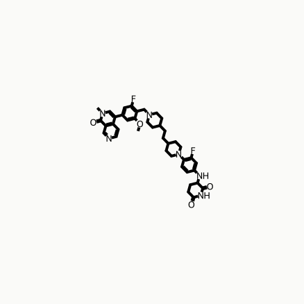 COc1cc(-c2cn(C)c(=O)c3cnccc23)cc(F)c1CN1CCC(CCC2CCN(c3ccc(NC4CCC(=O)NC4=O)cc3F)CC2)CC1